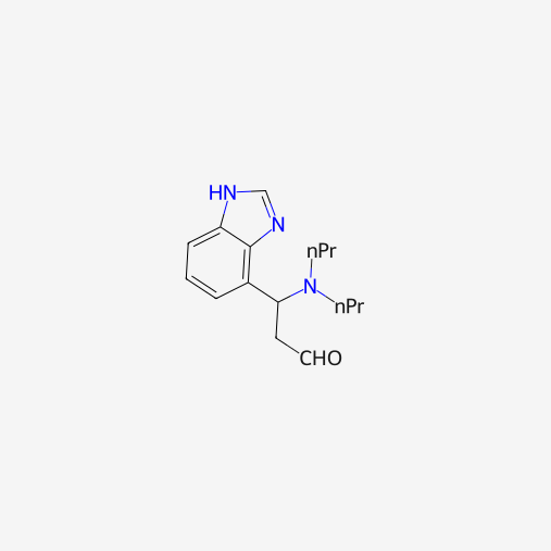 CCCN(CCC)C(CC=O)c1cccc2[nH]cnc12